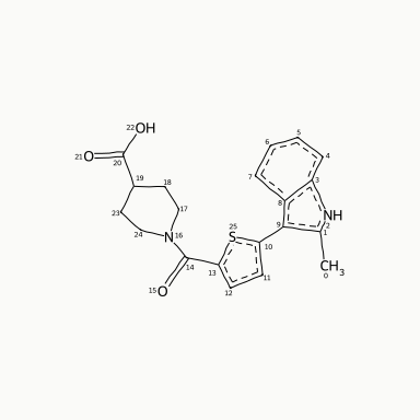 Cc1[nH]c2ccccc2c1-c1ccc(C(=O)N2CCC(C(=O)O)CC2)s1